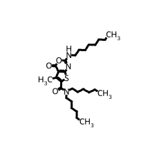 CCCCCCCCNc1nc2sc(C(=O)N(CCCCCC)CCCCCC)c(C)c2c(=O)o1